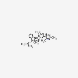 CC(=N)/N=C(/C)Nc1cc([C@@H]2C[C@H]2C2(C)Nc3ccccc3N2CCN(C)C)nc(C)n1